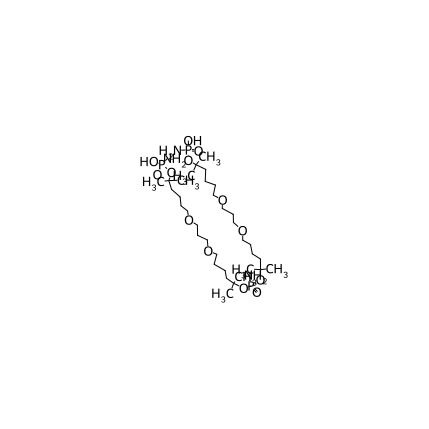 CC(C)(CCCCOCCCOCCCCC(C)(C)OP(N)(=O)OC(C)(C)CCCCOCCCOCCCCC(C)(C)OP(N)(=O)O)OP(N)(=O)O